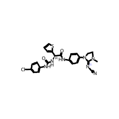 CN1CCN(c2ccc(NC(=O)[C@@H](NC(=O)Nc3ccc(Cl)cc3)c3cccs3)cc2)/C1=N/C#N